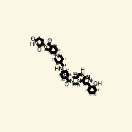 O=C1CCC(N2Cc3cc(N4CCC(CNC56CCC(C(=O)N7CCN8c9cc(-c%10ccccc%10O)nnc9NC[C@H]8C7)(CC5)CC6)CC4)ccc3C2=O)C(=O)N1